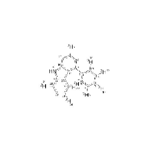 [2H]c1cc(-c2c([2H])c([2H])c([2H])c([2H])c2[2H])c2c(c1)[nH]c1c([2H])cc([2H])c([2H])c12